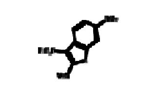 CCOC(=O)c1c(NC)sc2cc(OC)ccc12